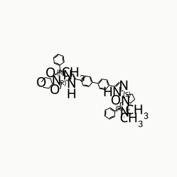 C[C@@H](C(=O)N1[C@H](c2ncc(-c3ccc(-c4ccc(-c5cnc([C@@H]6CCCN6C(=O)[C@@H](c6ccccc6)N(C)C)[nH]5)cc4)cc3)[nH]2)COC12CCOCC2)c1ccccc1